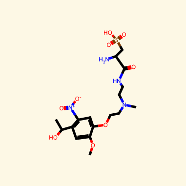 COc1cc(C(C)O)c([N+](=O)[O-])cc1OCCN(C)CCNC(=O)C(N)CS(=O)(=O)O